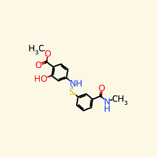 CNC(=O)c1cccc(SNc2ccc(C(=O)OC)c(O)c2)c1